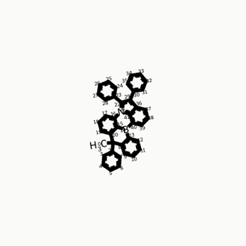 CC1(c2ccccc2)c2ccccc2B2c3c(cccc31)-n1c(-c3ccccc3)c(-c3ccccc3)c3cccc2c31